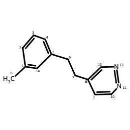 Cc1cccc(CCc2ccnnc2)c1